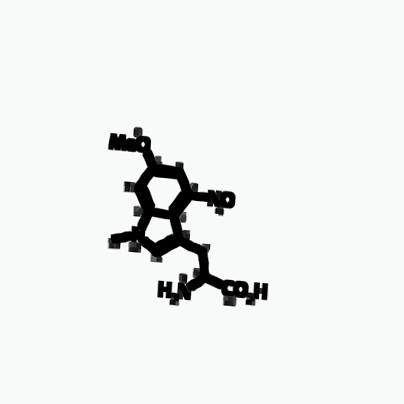 COc1cc(N=O)c2c(CC(N)C(=O)O)cn(C)c2c1